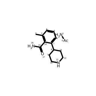 CC(N)=O.Cc1cccc(C2CCNCC2)c1C(N)=O